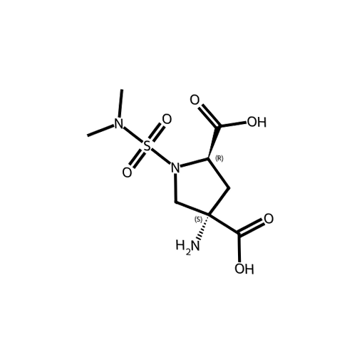 CN(C)S(=O)(=O)N1C[C@](N)(C(=O)O)C[C@@H]1C(=O)O